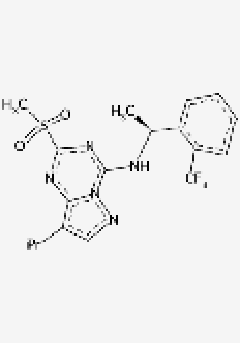 CC(C)c1cnn2c(N[C@@H](C)c3ccccc3C(F)(F)F)nc(S(C)(=O)=O)nc12